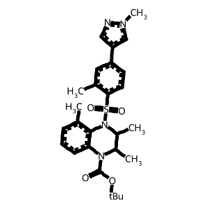 Cc1cc(-c2cnn(C)c2)ccc1S(=O)(=O)N1c2c(C)cccc2N(C(=O)OC(C)(C)C)C(C)C1C